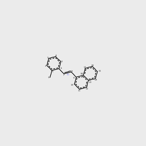 Cc1ccccc1/C=C/c1cccc2ccccc12